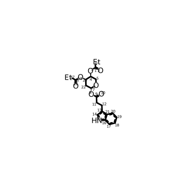 CCC(=O)O[C@H]1CO[C@H](OC(=O)CCc2c[nH]c3ccccc23)C[C@H]1OC(=O)CC